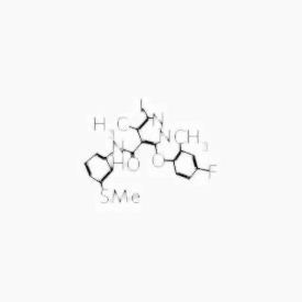 CSc1cccc(NC(=O)c2c(Oc3ccc(F)cc3C)nnc(I)c2C)c1